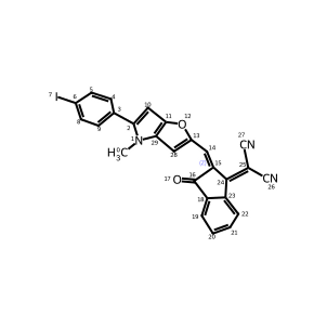 Cn1c(-c2ccc(I)cc2)cc2oc(/C=C3\C(=O)c4ccccc4C3=C(C#N)C#N)cc21